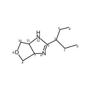 CCC(CC)C1=NC2COCC2N1